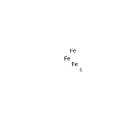 [Fe].[Fe].[Fe].[I]